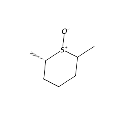 CC1CCC[C@H](C)[S+]1[O-]